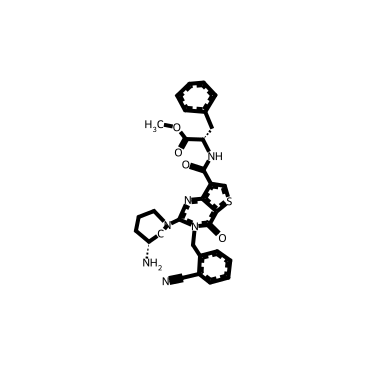 COC(=O)[C@H](Cc1ccccc1)NC(=O)c1csc2c(=O)n(Cc3ccccc3C#N)c(N3CCC[C@@H](N)C3)nc12